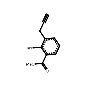 C#CCc1cccc(C(=O)OC)c1CCC